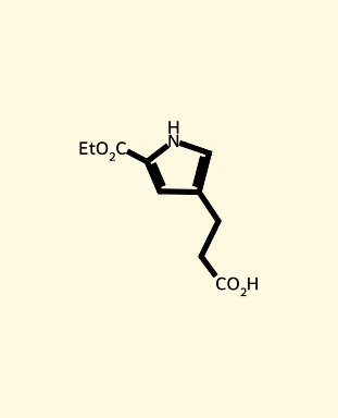 CCOC(=O)c1cc(CCC(=O)O)c[nH]1